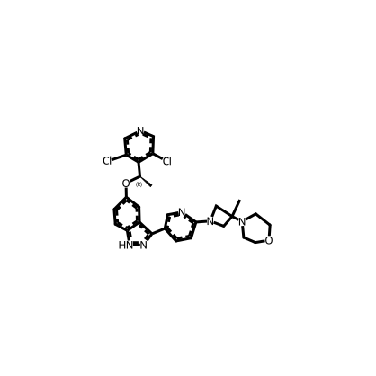 C[C@@H](Oc1ccc2[nH]nc(-c3ccc(N4CC(C)(N5CCOCC5)C4)nc3)c2c1)c1c(Cl)cncc1Cl